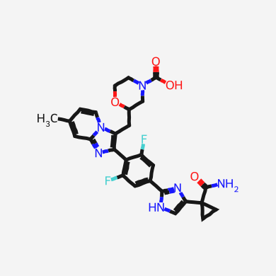 Cc1ccn2c(CC3CN(C(=O)O)CCO3)c(-c3c(F)cc(-c4nc(C5(C(N)=O)CC5)c[nH]4)cc3F)nc2c1